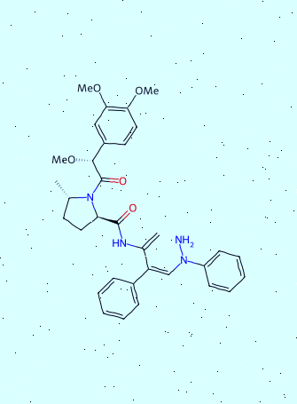 C=C(NC(=O)[C@H]1CC[C@H](C)N1C(=O)[C@H](OC)c1ccc(OC)c(OC)c1)/C(=C\N(N)c1ccccc1)c1ccccc1